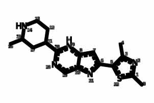 Cc1nc(C)c(-c2cc3[nH]c(C4CCNC(C)C4)ncc-3n2)s1